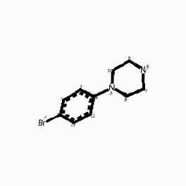 Brc1ccc(N2CC[N]CC2)cc1